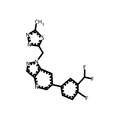 Cc1nnc(Cn2ncc3ncc(-c4ccc(F)c(C(F)F)c4)cc32)s1